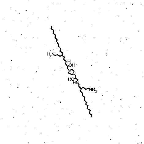 CCCCCCCCCCCCCC(CCCN)CCNCC(O)CN1CCN(CC(O)CNCCC(CCCN)CCCCCCCCCCCCC)CC1